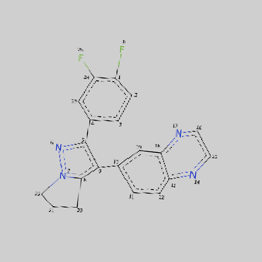 Fc1ccc(-c2nn3c(c2-c2ccc4nccnc4c2)CCC3)cc1F